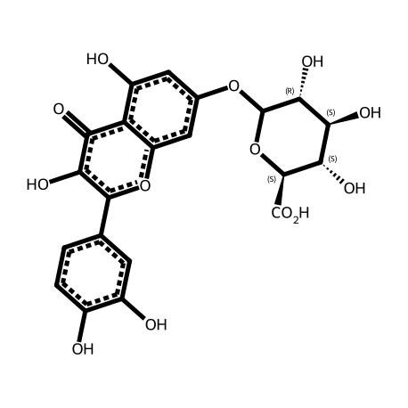 O=C(O)[C@H]1OC(Oc2cc(O)c3c(=O)c(O)c(-c4ccc(O)c(O)c4)oc3c2)[C@H](O)[C@@H](O)[C@@H]1O